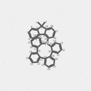 CC1(C)c2ccccc2-c2c(-n3c4ccccc4c4ccccc4c4ccccc4c4ccccc43)cccc21